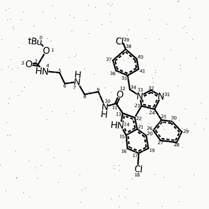 CC(C)(C)OC(=O)NCCNCCNC(=O)c1[nH]c2cc(Cl)ccc2c1-c1c(-c2ccccc2)ncn1Cc1ccc(Cl)cc1